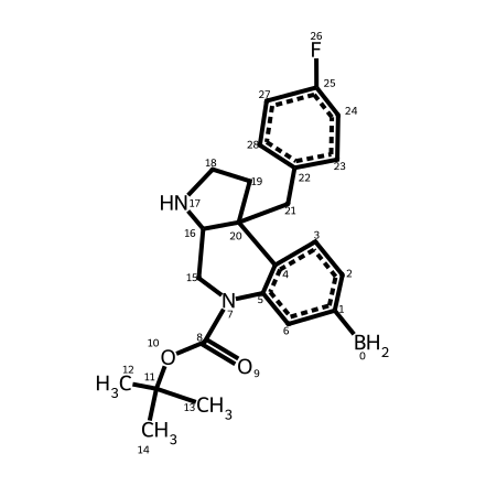 Bc1ccc2c(c1)N(C(=O)OC(C)(C)C)CC1NCCC21Cc1ccc(F)cc1